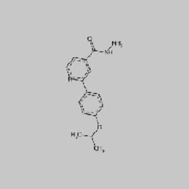 CC(C)Oc1ccc(-c2cc(C(=O)NN)ccn2)cc1